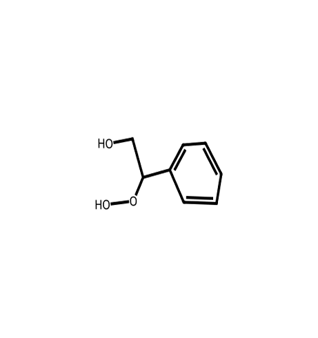 OCC(OO)c1ccccc1